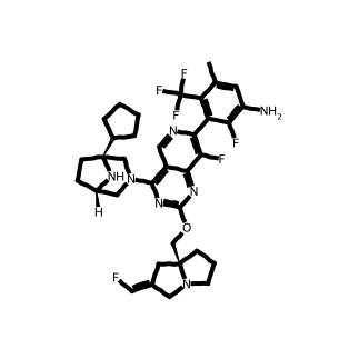 Cc1cc(N)c(F)c(-c2ncc3c(N4C[C@@H]5CC[C@](C6CCCC6)(C4)N5)nc(OC[C@@]45CCCN4C/C(=C/F)C5)nc3c2F)c1C(F)(F)F